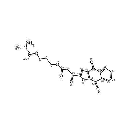 CC(C)[C@H](N)C(=O)OCCCOC(=O)CC(=O)c1cc2c(o1)C(=O)c1ccccc1C2=O